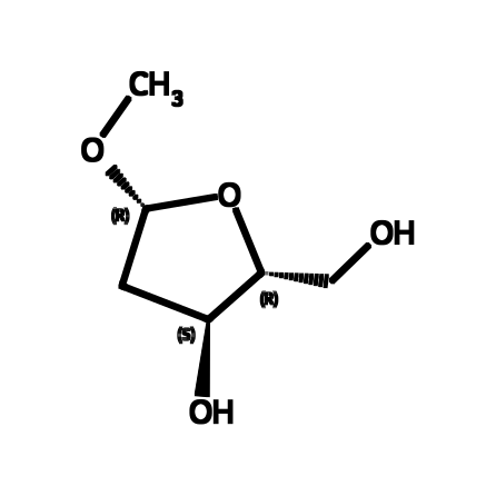 CO[C@H]1C[C@H](O)[C@@H](CO)O1